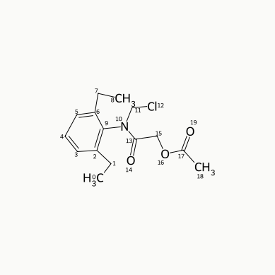 CCc1cccc(CC)c1N(CCl)C(=O)COC(C)=O